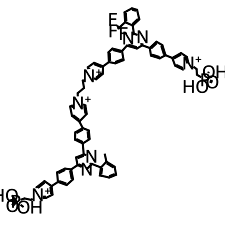 Cc1ccccc1-c1nc(-c2ccc(-c3cc[n+](CCC[n+]4ccc(-c5ccc(-c6cc(-c7ccc(-c8cc[n+](CCP(=O)(O)O)cc8)cc7)nc(-c7ccccc7C(F)(F)F)n6)cc5)cc4)cc3)cc2)cc(-c2ccc(-c3cc[n+](CCP(=O)(O)O)cc3)cc2)n1